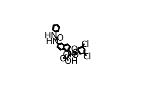 O=C(Nc1ccccc1)Nc1ccc2cc(N(CP(=O)(O)O)S(=O)(=O)c3cc(Cl)cc(Cl)c3)ccc2c1